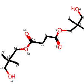 CC(C)(CO)COC(=O)CCC(=O)OCC(C)(C)CO